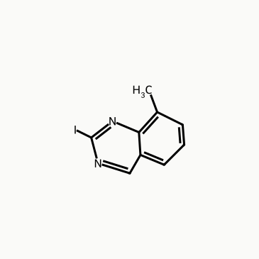 Cc1cccc2cnc(I)nc12